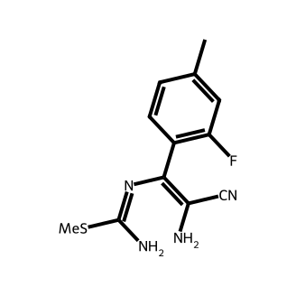 CS/C(N)=N/C(=C(\N)C#N)c1ccc(C)cc1F